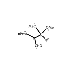 CCCCCC(C=O)[Si](CCC)(OC)OC